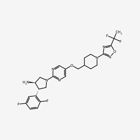 CC(F)(F)c1nc(N2CCC(COc3cnc(N4C[C@H](c5cc(F)ccc5F)[C@@H](N)C4)nc3)CC2)no1